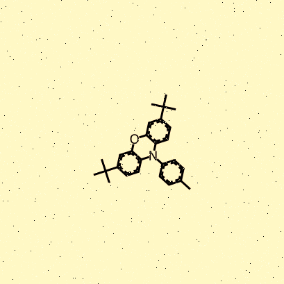 Cc1ccc(N2c3ccc(C(C)(C)C)cc3Oc3cc(C(C)(C)C)ccc32)cc1